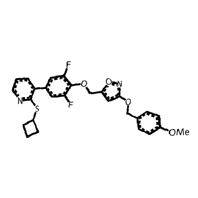 COc1ccc(COc2cc(COc3c(F)cc(-c4cccnc4SC4CCC4)cc3F)on2)cc1